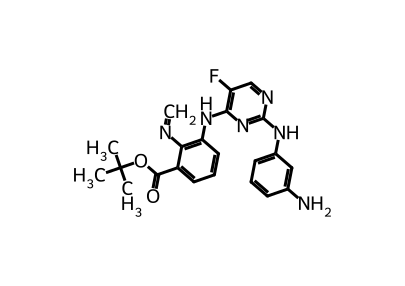 C=Nc1c(Nc2nc(Nc3cccc(N)c3)ncc2F)cccc1C(=O)OC(C)(C)C